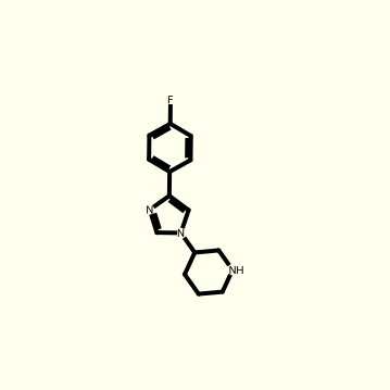 Fc1ccc(-c2cn(C3CCCNC3)cn2)cc1